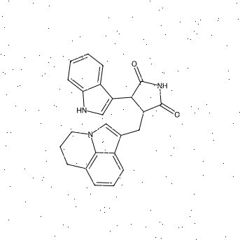 O=C1NC(=O)C(c2c[nH]c3ccccc23)C1Cc1cn2c3c(cccc13)CCC2